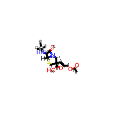 CC(=O)OCC=CC1(C(=O)O)CS[C@@H]2C(N[Si](C)(C)C)C(=O)N2C1